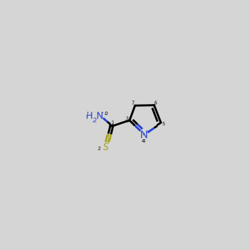 NC(=S)C1=NC=CC1